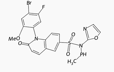 COc1cc(Br)c(F)cc1-n1c(=O)ccc2cc(S(=O)(=O)N(PC)c3ncco3)ccc21